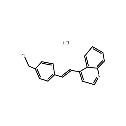 Cl.ClCc1ccc(C=Cc2ccnc3ccccc23)cc1